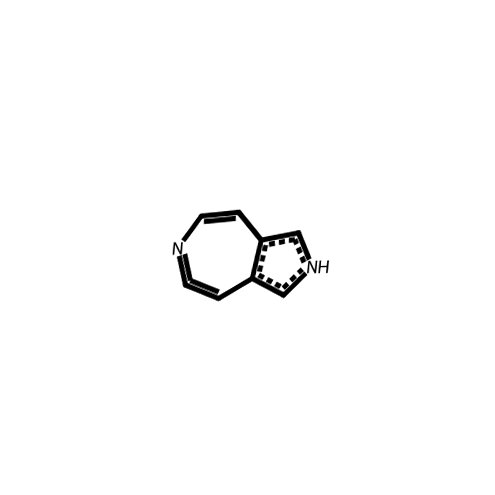 C1=Cc2c[nH]cc2C=CN=1